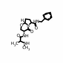 CNC(C)C(=O)N[C@H]1CO[C@H]2CCC(C(=O)NCc3ccccc3)N2C1=O